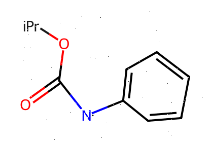 CC(C)OC(=O)[N]c1ccccc1